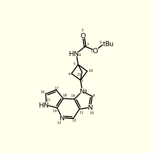 CC(C)(C)OC(=O)NC12CC(n3cnc4cnc5[nH]ccc5c43)(C1)C2